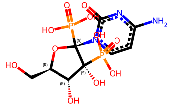 Nc1ccn([C@]2(P(=O)(O)O)O[C@H](CO)[C@@H](O)[C@]2(O)P(=O)(O)O)c(=O)n1